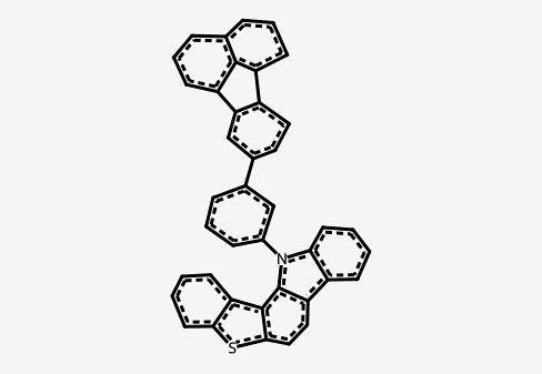 c1cc(-c2ccc3c(c2)-c2cccc4cccc-3c24)cc(-n2c3ccccc3c3ccc4sc5ccccc5c4c32)c1